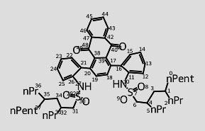 CCCCCC(CCC)CC(CCC)CS(=O)(=O)Nc1ccccc1-c1ccc(-c2ccccc2NS(=O)(=O)CC(CCC)CC(CCC)CCCCC)c2c1C(=O)c1ccccc1C2=O